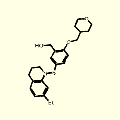 CCc1ccc2c(c1)N(Sc1ccc(OCC3CCOCC3)c(CO)c1)CCC2